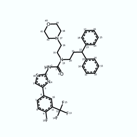 O=C(Nc1nc(-c2ccc(F)c(C(F)(F)F)c2)cs1)N(CCC(c1ccccc1)c1ccccc1)CCN1CCOCC1